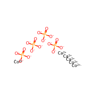 O=P([O-])([O-])[O-].O=P([O-])([O-])[O-].O=P([O-])([O-])[O-].O=P([O-])([O-])[O-].[Ca+2].[Ca+2].[Ca+2].[Co+2].[Co+2].[Co+2]